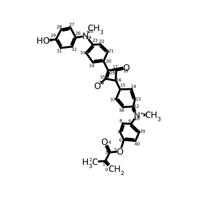 C=C(C)C(=O)Oc1ccc([N+](C)=C2C=CC(C3C(=O)C(c4ccc(N(C)c5ccc(O)cc5)cc4)=C3[O-])C=C2)cc1